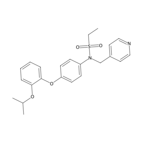 CCS(=O)(=O)N(Cc1ccncc1)c1ccc(Oc2ccccc2OC(C)C)cc1